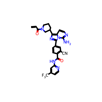 C=CC(=O)N1CCCC(c2nc(-c3ccc(C(=O)Nc4cc(C(F)(F)F)ccn4)c(C#N)c3)n3c(N)nccc23)C1